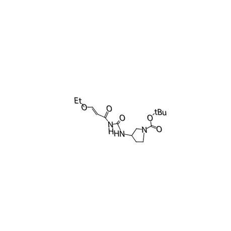 CCOC=CC(=O)NC(=O)NC1CCN(C(=O)OC(C)(C)C)C1